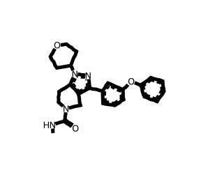 CNC(=O)N1CCc2c(c(-c3cccc(Oc4ccccc4)c3)nn2C2CCOCC2)C1